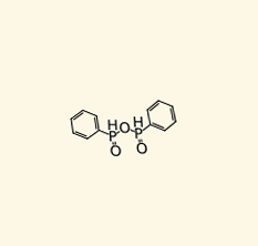 O=[PH](O[PH](=O)c1ccccc1)c1ccccc1